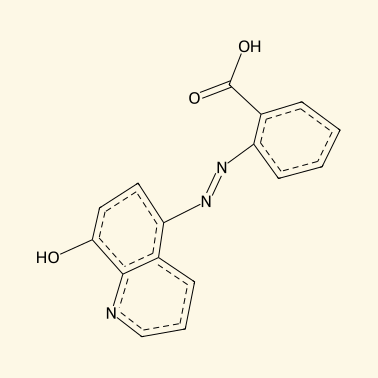 O=C(O)c1ccccc1/N=N/c1ccc(O)c2ncccc12